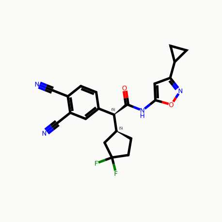 N#Cc1ccc([C@@H](C(=O)Nc2cc(C3CC3)no2)[C@H]2CCC(F)(F)C2)cc1C#N